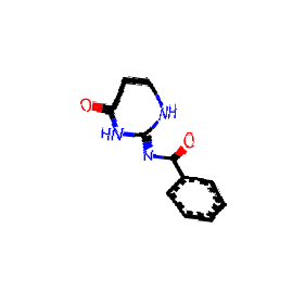 O=C1CCN/C(=N\C(=O)c2ccccc2)N1